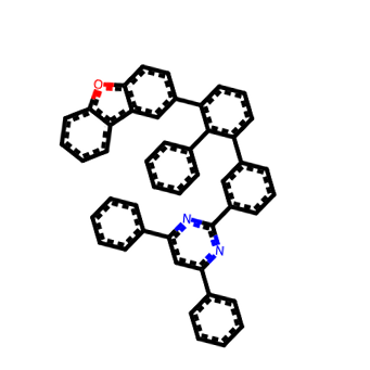 c1ccc(-c2cc(-c3ccccc3)nc(-c3cccc(-c4cccc(-c5ccc6oc7ccccc7c6c5)c4-c4ccccc4)c3)n2)cc1